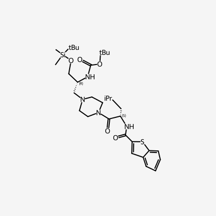 CC(C)C[C@H](NC(=O)c1cc2ccccc2s1)C(=O)N1CCN(C[C@H](CO[Si](C)(C)C(C)(C)C)NC(=O)OC(C)(C)C)CC1